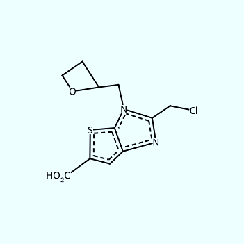 O=C(O)c1cc2nc(CCl)n(CC3CCO3)c2s1